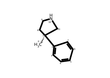 C[C@]1(c2ccccc2)CCNC1